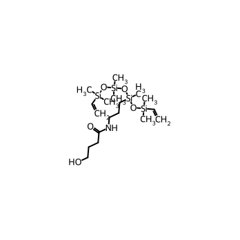 C=C[Si](C)(C)O[Si](C)(C)O[Si](C)(CCCNC(=O)CCCO)O[Si](C)(C)C=C